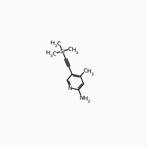 Cc1cc(N)ncc1C#C[Si](C)(C)C